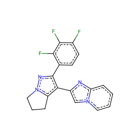 Fc1ccc(-c2nn3c(c2-c2cn4ccccc4n2)CCC3)c(F)c1F